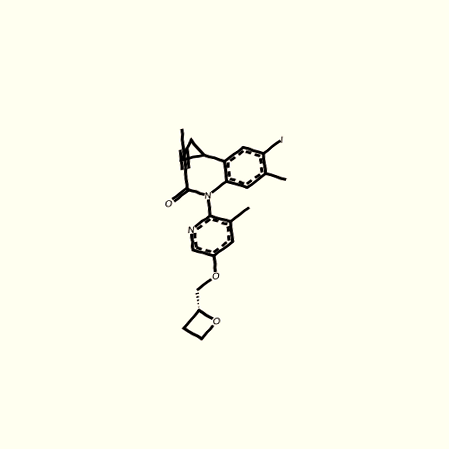 CC#CC(=O)N(c1cc(C)c(I)cc1C1CC1)c1ncc(OC[C@H]2CCO2)cc1C